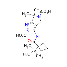 CC1(C)c2nn(C(=O)O)c(NC(=O)C3([Si](C)(C)C)CCC3)c2CN1C(=O)O